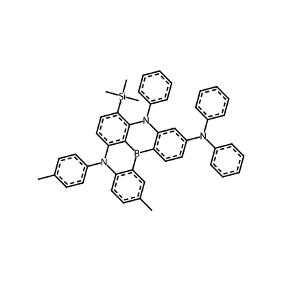 Cc1ccc(N2c3ccc(C)cc3B3c4ccc(N(c5ccccc5)c5ccccc5)cc4N(c4ccccc4)c4c([Si](C)(C)C)ccc2c43)cc1